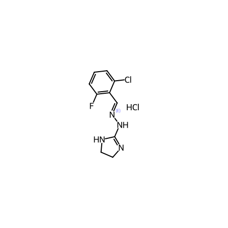 Cl.Fc1cccc(Cl)c1/C=N/NC1=NCCN1